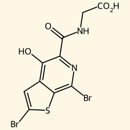 O=C(O)CNC(=O)c1nc(Br)c2sc(Br)cc2c1O